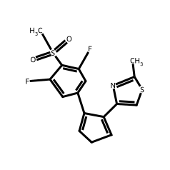 Cc1nc(C2=CCC=C2c2cc(F)c(S(C)(=O)=O)c(F)c2)cs1